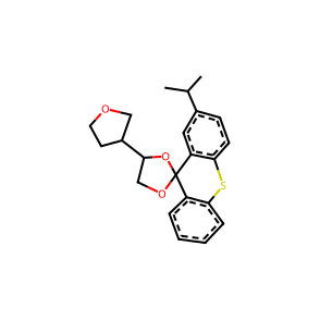 CC(C)c1ccc2c(c1)C1(OCC(C3CCOC3)O1)c1ccccc1S2